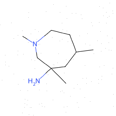 CC1CCN(C)CC(C)(N)C1